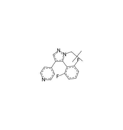 CC(C)(C)Cn1ncc(-c2ccncc2)c1-c1c(F)cccc1F